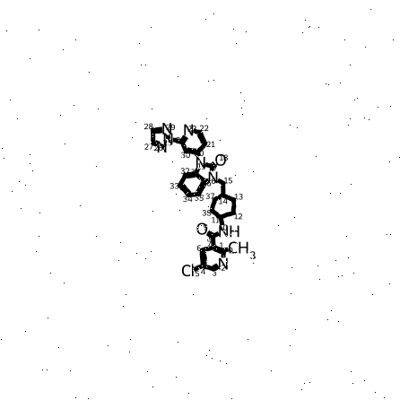 Cc1ncc(Cl)cc1C(=O)NC1CCC(Cn2c(=O)n(-c3ccnc(-n4nccn4)c3)c3ccccc32)CC1